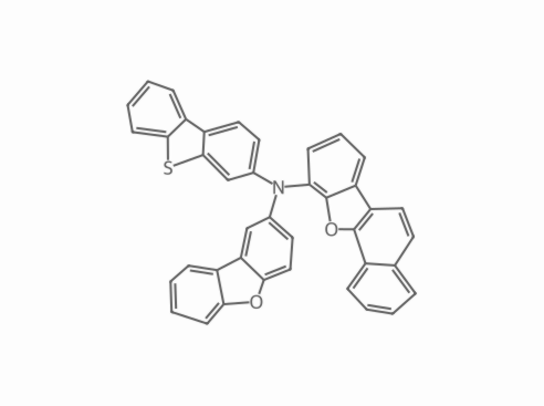 c1ccc2c(c1)ccc1c3cccc(N(c4ccc5c(c4)sc4ccccc45)c4ccc5oc6ccccc6c5c4)c3oc21